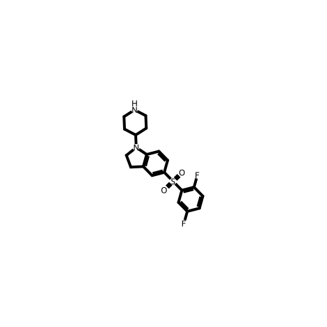 O=S(=O)(c1ccc2c(c1)CCN2C1CCNCC1)c1cc(F)ccc1F